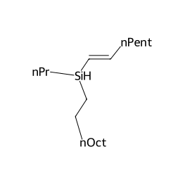 CCCCCC=C[SiH](CCC)CCCCCCCCCC